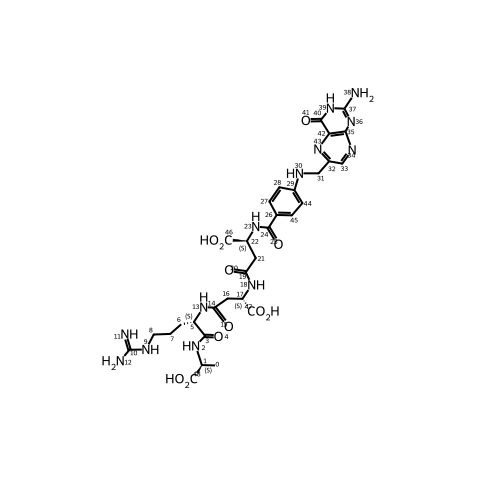 C[C@H](NC(=O)[C@H](CCCNC(=N)N)NC(=O)C[C@H](NC(=O)C[C@H](NC(=O)c1ccc(NCc2cnc3nc(N)[nH]c(=O)c3n2)cc1)C(=O)O)C(=O)O)C(=O)O